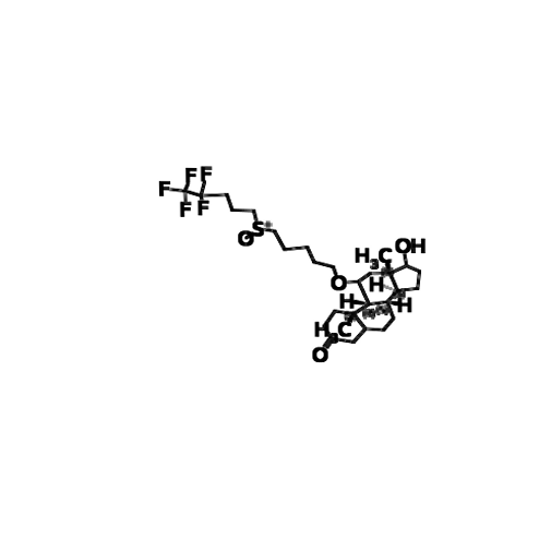 C[C@]12CCC(=O)CC1CC[C@@H]1[C@H]2C(OCCCCC[S+]([O-])CCCC(F)(F)C(F)(F)F)C[C@]2(C)C(O)CC[C@@H]12